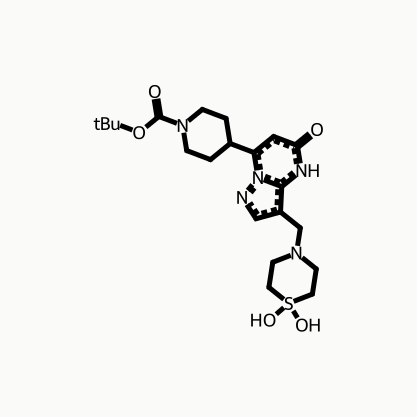 CC(C)(C)OC(=O)N1CCC(c2cc(=O)[nH]c3c(CN4CCS(O)(O)CC4)cnn23)CC1